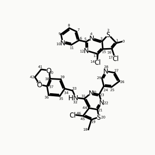 Cc1sc2nc(-c3cccnc3)nc(Cl)c2c1Cl.Cc1sc2nc(-c3cccnc3)nc(NCc3ccc4c(c3)OCCO4)c2c1Cl